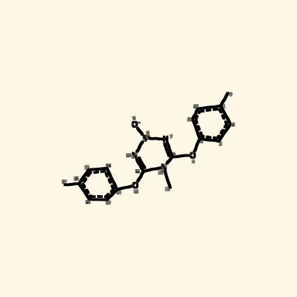 Cc1ccc(OC2=N[S+]([O-])N=C(Oc3ccc(C)cc3)N2C)cc1